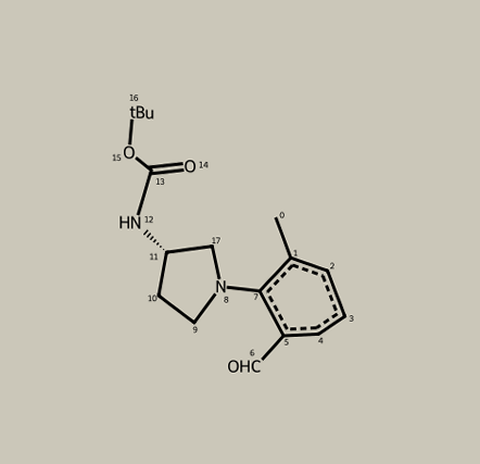 Cc1cccc(C=O)c1N1CC[C@H](NC(=O)OC(C)(C)C)C1